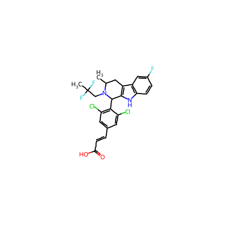 CC1Cc2c([nH]c3ccc(F)cc23)C(c2c(Cl)cc(/C=C/C(=O)O)cc2Cl)N1CC(C)(F)F